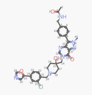 CC(=O)NCc1ccc(-c2c3ncn(CC4(O)CCN(Cc5ccc(-c6cnco6)cc5Cl)CC4)c(=O)c3nn2C)cc1